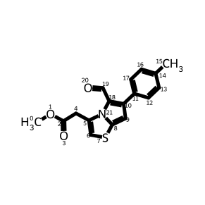 COC(=O)Cc1csc2cc(-c3ccc(C)cc3)c(C=O)n12